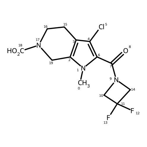 Cn1c2c(c(Cl)c1C(=O)N1CC(F)(F)C1)CCN(C(=O)O)C2